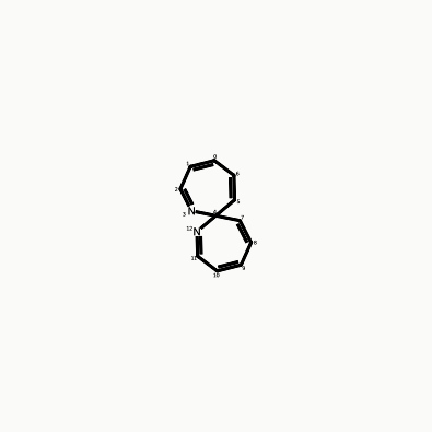 C1=CC=NC2(C=C1)C=CC=CC=N2